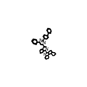 c1ccc(-c2ccc(-c3nc(-c4ccccc4)cc(-c4cnc(-c5nc6ccccc6c6c5ccc5ccccc56)c5ccccc45)n3)cc2)cc1